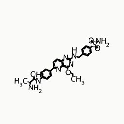 CCOc1nc(NCc2ccc(S(N)(=O)=O)cc2)nc2ccc(-c3ccc(NC(=O)[C@H](C)N)cc3)nc12